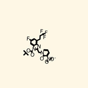 CC(C)(C)OC(=O)n1c(Cn2cccc([N+](=O)[O-])c2=O)nc2c(CCC(F)(F)F)cc(F)cc21